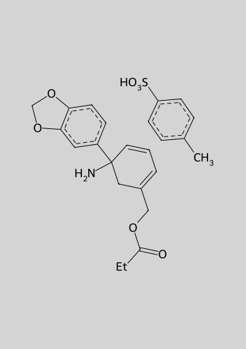 CCC(=O)OCC1=CC=CC(N)(c2ccc3c(c2)OCO3)C1.Cc1ccc(S(=O)(=O)O)cc1